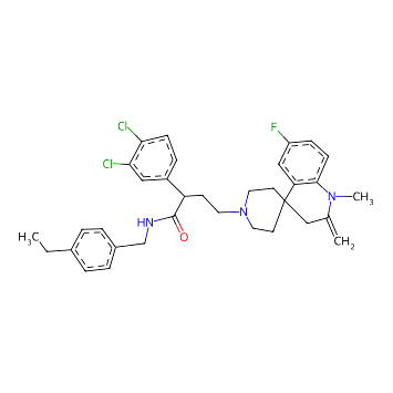 C=C1CC2(CCN(CCC(C(=O)NCc3ccc(CC)cc3)c3ccc(Cl)c(Cl)c3)CC2)c2cc(F)ccc2N1C